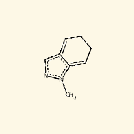 Cn1ncc2c1=CCCC=2